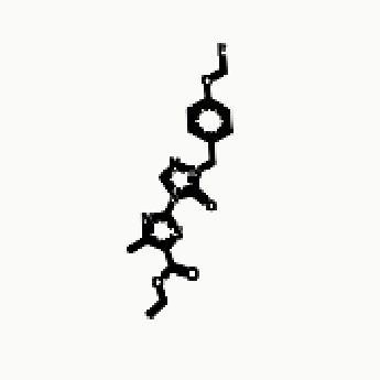 CCOC(=O)c1sc(-n2cnn(Cc3ccc(OCF)cc3)c2=O)nc1C